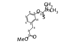 COC(=O)CCc1cccc(OC(=S)N(C)C)c1